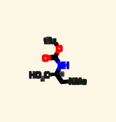 CNC[C@H](NC(=O)OC(C)(C)C)C(=O)O